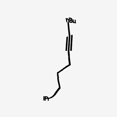 CCCCC#CCCCC(C)C